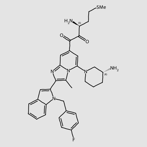 CSCC[C@H](N)C(=O)C(=O)c1cc(N2CCC[C@@H](N)C2)n2c(C)c(-c3cc4ccccc4n3Cc3ccc(F)cc3)nc2c1